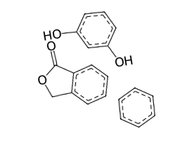 O=C1OCc2ccccc21.Oc1cccc(O)c1.c1ccccc1